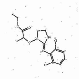 CCOC(=O)C(C)ON1CCN/C1=N\c1c(Cl)cccc1Cl